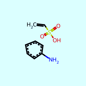 C=CS(=O)(=O)O.Nc1ccccc1